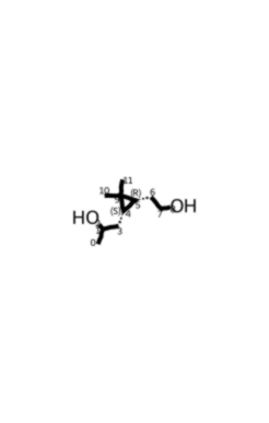 CC(O)C[C@H]1[C@@H](CCO)C1(C)C